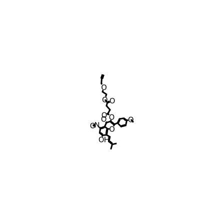 C#CCOCCOC(=O)CCC(=O)Oc1c(-c2ccc(OC)cc2)oc2c(CC=C(C)C)c(O)cc(N=O)c2c1=O